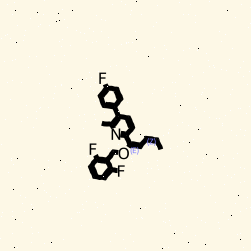 C/C=C\C=C(\OCc1c(F)cccc1F)c1ccc(-c2ccc(F)cc2)c(C)n1